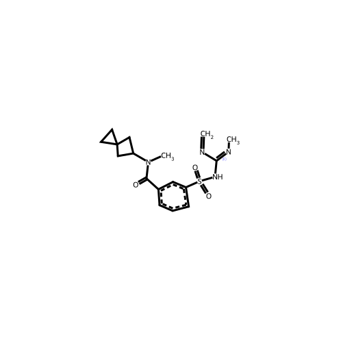 C=N/C(=N\C)NS(=O)(=O)c1cccc(C(=O)N(C)C2CC3(CC3)C2)c1